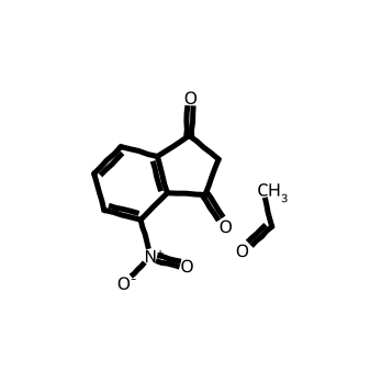 CC=O.O=C1CC(=O)c2c1cccc2[N+](=O)[O-]